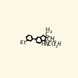 CCc1cccc(-c2ccc3c(c2)CC(C)(C)[C@H]3NC(=O)O)c1